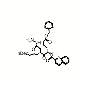 CCCCCCCCCCCCC[C@@H](CC(=O)NN)C(=O)[C@H](CCCC(=O)OCc1ccccc1)NC(=O)c1ccc2ccccc2n1